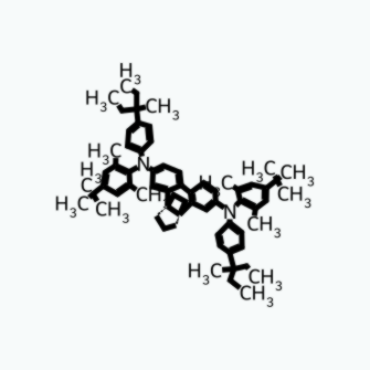 CCC(C)(CC)c1ccc(N(c2ccc3c(c2)[C@@]24CCC[C@@]2(CC4)c2cc(N(c4ccc(C(C)(CC)CC)cc4)c4c(C)cc(C(C)(C)C)cc4C)ccc2-3)c2c(C)cc(C(C)(C)C)cc2C)cc1